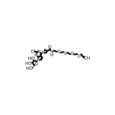 C#CCOCCOCCOCCOCCNC(=O)C1CN(c2nc(Cl)nc3c2ccn3[C@@H]2O[C@H](CO)[C@@H](O)[C@H]2O)C1